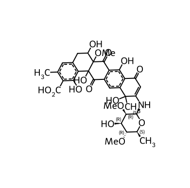 CO[C@@H]1[C@@H](O)[C@@H](OC)[C@@H](NC2=CC(=O)c3c(cc4c(c3O)C(=O)C3(OC)C(O)Cc5cc(C)c(C(=O)O)c(O)c5C3(O)C4=O)C2(C)O)O[C@H]1C